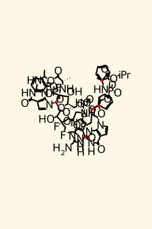 CC(C)OC(=O)[C@H](C)NP(=O)(OC[C@H]1O[C@@H](n2ccc3c(=O)[nH]c(NC(C)OC(=O)[C@H](C)N[P@](=O)(OC[C@H]4O[C@@H](n5ccc6c(=O)[nH]c(NC(C)OC(=O)[C@H](C)N[P@@](=O)(OC[C@H]7O[C@@H](n8ccc9c(=O)[nH]c(N)nc98)[C@@](F)(CF)C7O)Oc7ccccc7)nc65)[C@@](F)(CF)C4O)Oc4ccccc4)nc32)[C@@](F)(CF)C1O)Oc1ccccc1